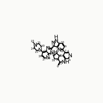 C=C(Nc1cncc(-c2ccc3[nH]nc(-c4nc5c(N6CCN(C)CC6)ccnc5[nH]4)c3n2)c1)C1CCCC1